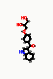 O=C(c1ccc(OCC(O)CO)cc1)c1c[nH]c2ccccc12